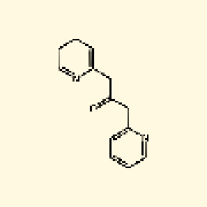 O=C(CC1=CCCC=N1)Cc1ccccn1